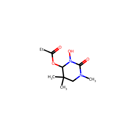 CCC(=O)OC1N(O)C(=O)N(C)CC1(C)C